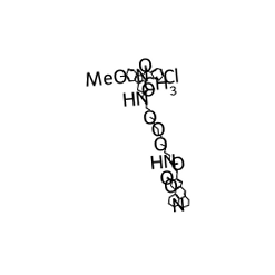 COc1ccc2c(c1)c(CC(=O)NCCCOCCOCCOCCCNC(=O)/C=C/c1cc3cc4c5c(c3oc1=O)CCCN5CCC4)c(C)n2C(=O)c1ccc(Cl)cc1